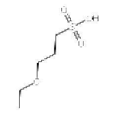 C[CH]OCCCS(=O)(=O)O